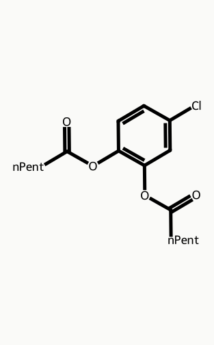 CCCCCC(=O)Oc1ccc(Cl)cc1OC(=O)CCCCC